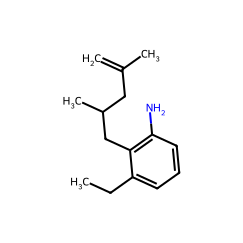 C=C(C)CC(C)Cc1c(N)cccc1CC